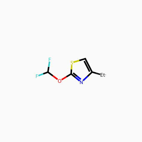 C[CH]c1csc(OC(F)F)n1